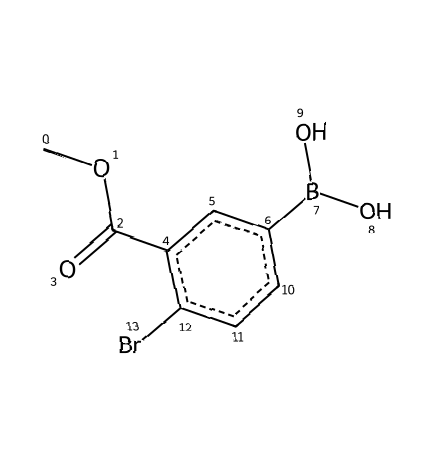 COC(=O)c1cc(B(O)O)ccc1Br